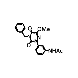 COc1nn(-c2cccc(NC(C)=O)c2)c(=O)n(Cc2ccccc2)c1=O